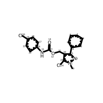 Cn1nc(-c2ccccc2)c(COC(=O)Nc2ccc(Cl)cc2)c1Cl